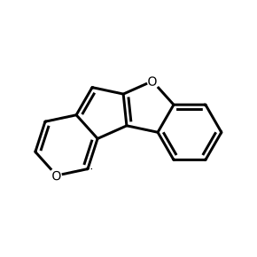 [c]1occc2cc3oc4ccccc4c3c1-2